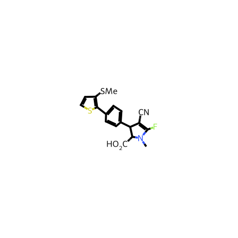 CSc1ccsc1-c1ccc(C2C(C#N)=C(F)N(C)C2C(=O)O)cc1